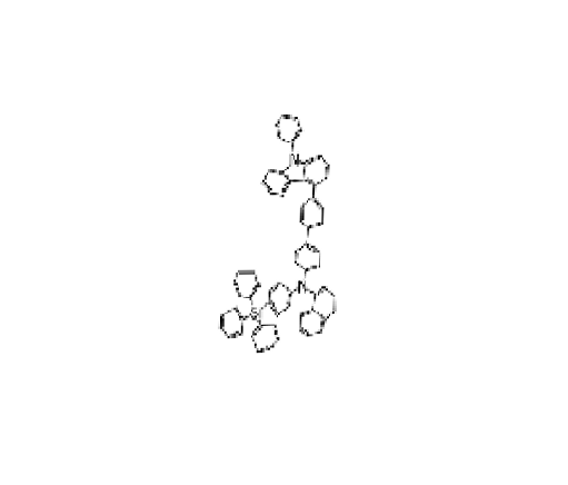 c1ccc(-n2c3ccccc3c3c(-c4ccc(-c5ccc(N(c6ccc([Si](c7ccccc7)(c7ccccc7)c7ccccc7)cc6)c6cccc7ccccc67)cc5)cc4)cccc32)cc1